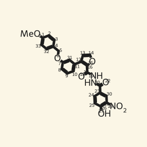 COc1ccc(COc2cccc(-c3ccoc3C(=O)NNC(=O)c3ccc(O)c([N+](=O)[O-])c3)c2)cc1